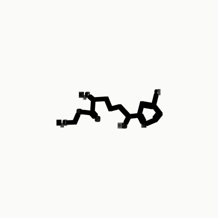 CCOC(=O)C(C)CCCC(O)c1cc(Cl)ccn1